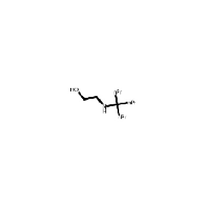 CCCC(CCC)(CCC)NCCO